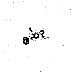 CCCSc1nc(N2CCCC2C(=O)O)ccc1C(=O)NC1C2CC3CC(C2)CC1C3